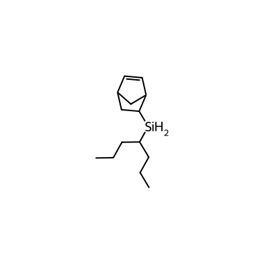 CCCC(CCC)[SiH2]C1CC2C=CC1C2